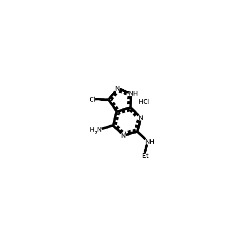 CCNc1nc(N)c2c(Cl)n[nH]c2n1.Cl